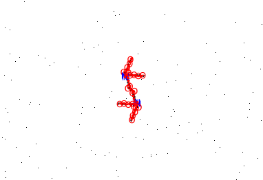 COCCOCCOCCOC(=O)c1nnn(CCCCCCOC(=O)C#CC(=O)OCCCCCCn2nnc(C(=O)OCCOCCOCCOC)c2C(=O)OCCOCCOCCOC)c1C(=O)OCCOCCOCCOC